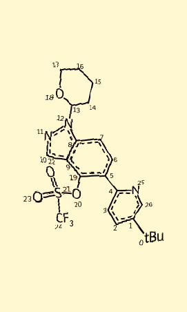 CC(C)(C)c1ccc(-c2ccc3c(cnn3C3CCCCO3)c2OS(=O)(=O)C(F)(F)F)nc1